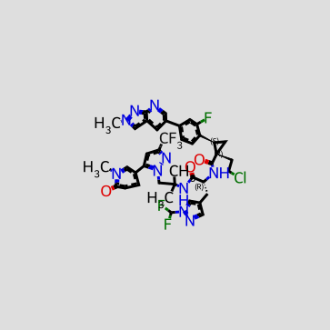 Cn1cc2cc(-c3ccc([C@H]4C[C@]4(CCCl)C(=O)N[C@H](Cc4cnn(C(F)F)c4)C(=O)NC(C)(C)Cn4nc(C(F)(F)F)cc4-c4ccc(=O)n(C)c4)c(F)c3)cnc2n1